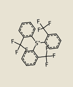 FC(F)(F)c1ccccc1[S+](c1ccccc1C(F)(F)F)c1ccccc1C(F)(F)F